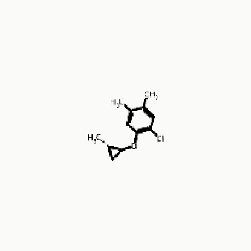 Cc1cc(Cl)c(OC2C[C@@H]2C)cc1C